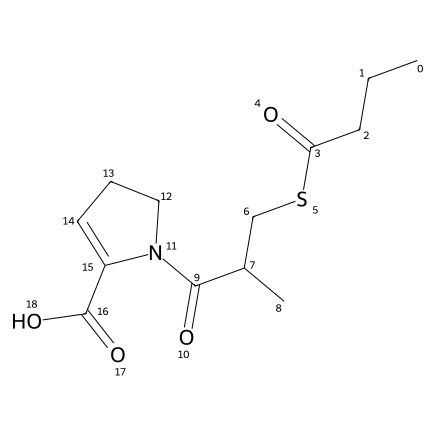 CCCC(=O)SCC(C)C(=O)N1CCC=C1C(=O)O